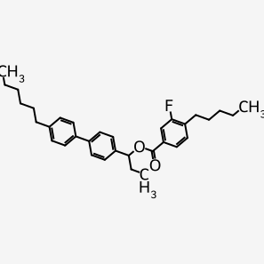 CCCCCCc1ccc(-c2ccc(C(CC)OC(=O)c3ccc(CCCCC)c(F)c3)cc2)cc1